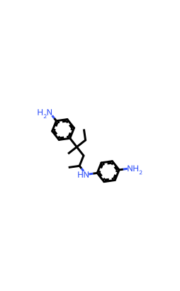 CCC(C)(CC(C)Nc1ccc(N)cc1)c1ccc(N)cc1